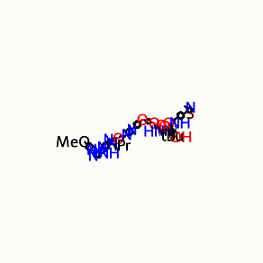 COC1CCN(c2nccc(Nc3cc4c(cn3)nc(COCCN3CCN(c5ccc(OC6CC(OCC(=O)N[C@H](C(=O)N7C[C@H](O)C[C@H]7C(=O)NCc7ccc(-c8scnc8C)cc7)C(C)(C)C)C6)cc5)CC3)n4C(C)C)n2)CC1